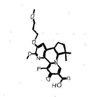 COCCCOc1cc2c(nc1OC)-c1c(F)c(=O)c(C(=O)O)cn1C1C2CCC1(C)C